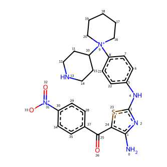 Nc1nc(Nc2ccc([N+]3(C4CCNCC4)CCCCC3)cc2)sc1C(=O)c1ccc([N+](=O)[O-])cc1